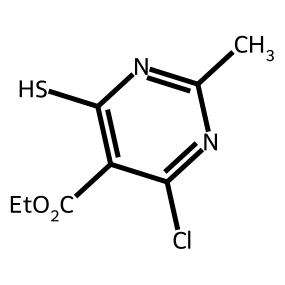 CCOC(=O)c1c(S)nc(C)nc1Cl